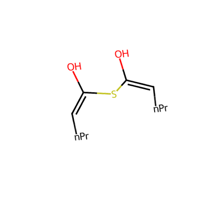 CCC/C=C(/O)S/C(O)=C\CCC